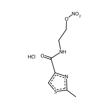 Cc1nc(C(=O)NCCO[N+](=O)[O-])cs1.Cl